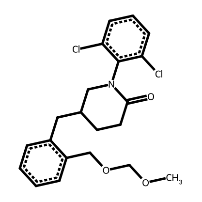 COCOCc1ccccc1CC1CCC(=O)N(c2c(Cl)cccc2Cl)C1